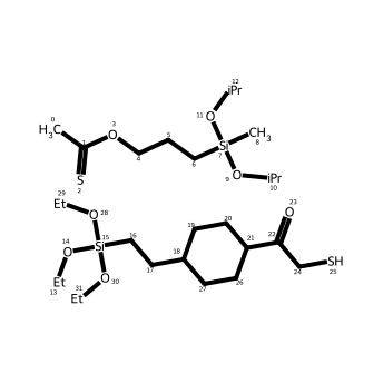 CC(=S)OCCC[Si](C)(OC(C)C)OC(C)C.CCO[Si](CCC1CCC(C(=O)CS)CC1)(OCC)OCC